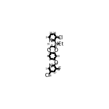 CCN(C(=O)[C@@H](C)Oc1ccc(Oc2ncc(Cl)cc2F)cc1)c1ncccc1Cl